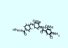 CCCCCC(=O)N1CCC(CN2CCC(NC(=O)c3cc(Cl)c(N)cc3OC)C(OC)C2)CC1